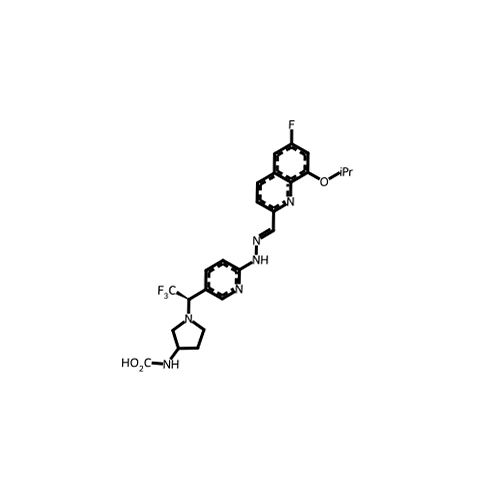 CC(C)Oc1cc(F)cc2ccc(C=NNc3ccc([C@@H](N4CCC(NC(=O)O)C4)C(F)(F)F)cn3)nc12